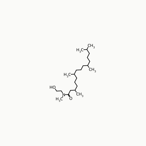 CC(C)CCCC(C)CCCC(C)CCCC(C)CC(=O)N(C)CCO